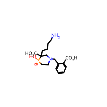 NCCCCC1(C(=O)O)CN(Cc2ccccc2C(=O)O)CCP1(=O)O